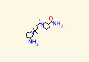 CC(CCC(C)(C)N1CCCC(N)C1)N1CCCC(C(N)=O)C1